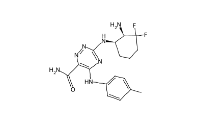 Cc1ccc(Nc2nc(N[C@@H]3CCCC(F)(F)[C@@H]3N)nnc2C(N)=O)cc1